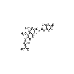 CC1=C(CN2CC(C(=O)O)C2)CCc2cc(OCCCc3ccc(F)cc3Cl)ccc21.Cl